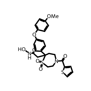 COc1ccc(Oc2ccc(C3(CC(=O)NO)CCN(C(=O)c4cccs4)CCS3(=O)=O)cc2)cc1